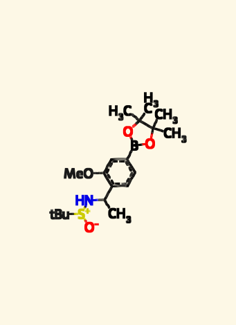 COc1cc(B2OC(C)(C)C(C)(C)O2)ccc1C(C)N[S+]([O-])C(C)(C)C